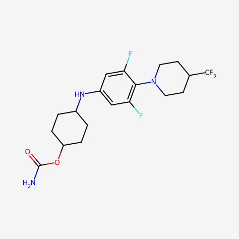 NC(=O)OC1CCC(Nc2cc(F)c(N3CCC(C(F)(F)F)CC3)c(F)c2)CC1